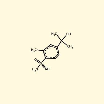 Cc1cc(C(C)(C)O)ccc1S(=N)(N)=O